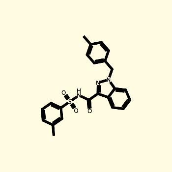 Cc1ccc(Cn2nc(C(=O)NS(=O)(=O)c3cccc(C)c3)c3ccccc32)cc1